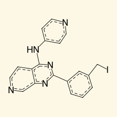 ICc1cccc(-c2nc(Nc3ccncc3)c3ccncc3n2)c1